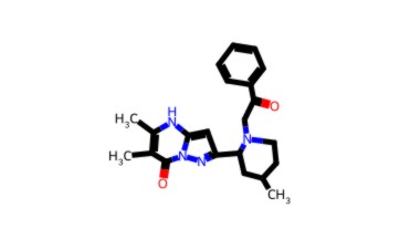 Cc1[nH]c2cc(C3CC(C)CCN3CC(=O)c3ccccc3)nn2c(=O)c1C